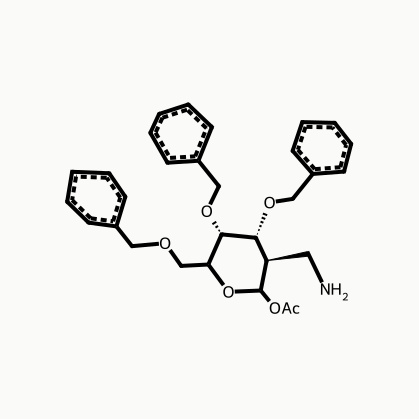 CC(=O)OC1OC(COCc2ccccc2)[C@H](OCc2ccccc2)[C@H](OCc2ccccc2)[C@H]1CN